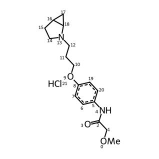 COCC(=O)Nc1ccc(OCCCN2CCC3CC32)cc1.Cl